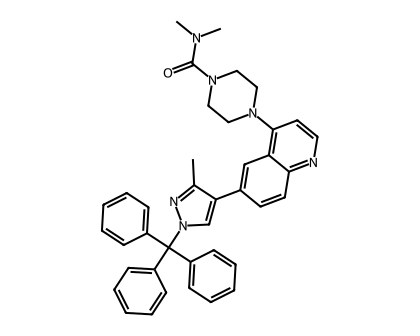 Cc1nn(C(c2ccccc2)(c2ccccc2)c2ccccc2)cc1-c1ccc2nccc(N3CCN(C(=O)N(C)C)CC3)c2c1